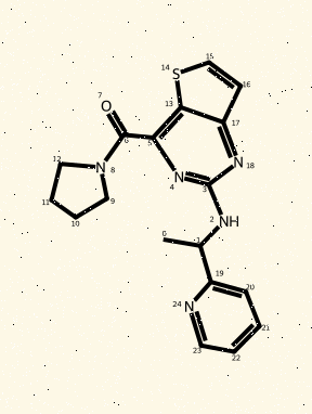 CC(Nc1nc(C(=O)N2CCCC2)c2sccc2n1)c1ccccn1